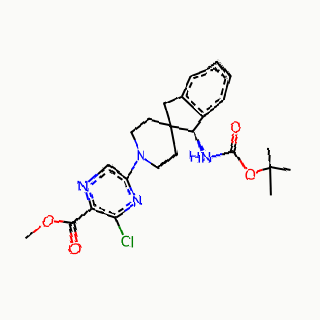 COC(=O)c1ncc(N2CCC3(CC2)Cc2ccccc2[C@H]3NC(=O)OC(C)(C)C)nc1Cl